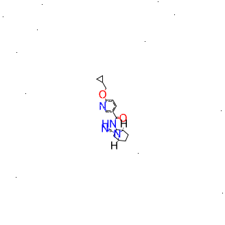 N#CN1[C@H]2CC[C@@H]1[C@H](NC(=O)c1ccc(OCC3CC3)nc1)C2